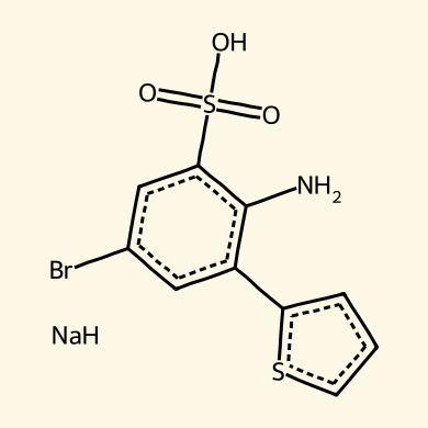 Nc1c(-c2cccs2)cc(Br)cc1S(=O)(=O)O.[NaH]